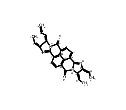 C=C/C=c1\c(=C/C)nc2c3ccc4c(=O)n5c(=C/C)/c(=C\C)nc5c5ccc(c(=O)n12)c3c45